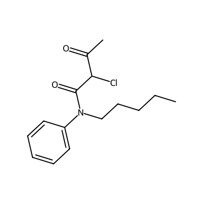 CCCCCN(C(=O)C(Cl)C(C)=O)c1ccccc1